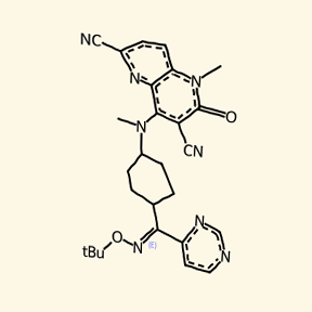 CN(c1c(C#N)c(=O)n(C)c2ccc(C#N)nc12)C1CCC(/C(=N\OC(C)(C)C)c2ccncn2)CC1